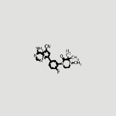 CN1CCN(c2cc(-c3cc(C#N)c4c(N)ncnn34)ccc2F)C(=O)C1(C)C